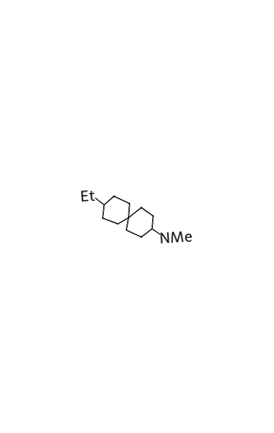 CCC1CCC2(CC1)CCC(NC)CC2